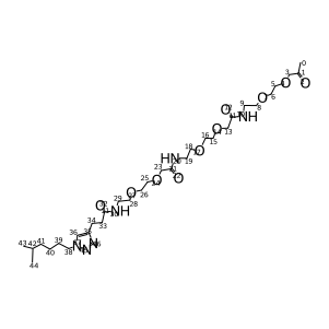 CC(=O)COCCOCCNC(=O)COCCOCCNC(=O)COCCOCCNC(=O)CCc1cn(CCCCC(C)C)nn1